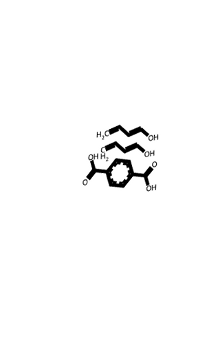 C=CC=CO.C=CC=CO.O=C(O)c1ccc(C(=O)O)cc1